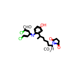 CC(CCCCC(C(=O)O)N1C(=O)CCC1=O)c1cc(O)ccc1N=C(C=CCl)C=C(Cl)C=O